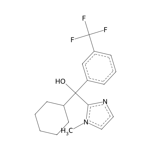 Cn1ccnc1C(O)(c1cccc(C(F)(F)F)c1)C1CCCCC1